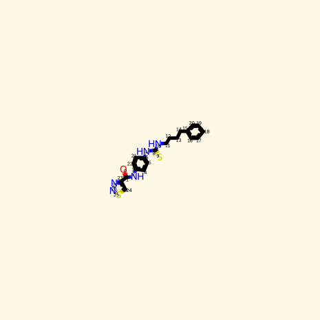 O=C(Nc1ccc(NC(=S)NCCCCc2ccccc2)cc1)c1csnn1